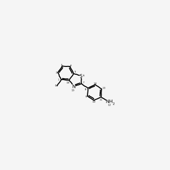 Cc1cccc2sc(-c3ccc(N)cc3)nc12